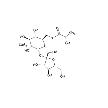 CC(O)C(=O)OC[C@H]1O[C@H](O[C@]2(CO)O[C@H](CO)[C@@H](O)[C@@H]2O)[C@H](O)[C@@H](O)[C@@H]1O.[CaH2]